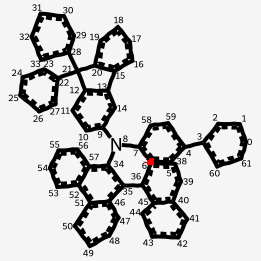 c1ccc(-c2ccc(N(c3ccc4c(c3)-c3ccccc3C4(c3ccccc3)c3ccccc3)c3c(-c4cccc5ccccc45)c4ccccc4c4ccccc34)cc2)cc1